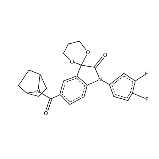 O=C(c1ccc2c(c1)C1(OCCCO1)C(=O)N2c1ccc(F)c(F)c1)N1C2CCC1CC2